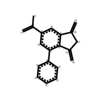 C=C(C)c1cc2c(c(-c3ccccc3)c1)C(=C)CC2=C